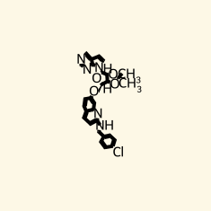 CC1(C)O[C@@H]2[C@H](O1)[C@@H](COc1ccc3ccc(NCc4ccc(Cl)cc4)nc3c1)O[C@H]2n1ccc2cncnc21